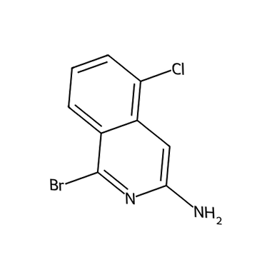 Nc1cc2c(Cl)cccc2c(Br)n1